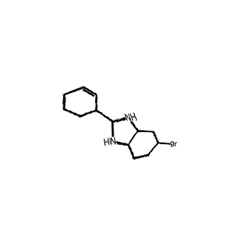 BrC1CCC2NC(C3C=CCCC3)NC2C1